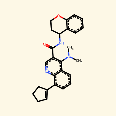 CN(C)c1c(C(=O)NC2CCOc3ccccc32)cnc2c(C3=CCCC3)cccc12